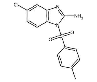 Cc1ccc(S(=O)(=O)n2c(N)nc3cc(Cl)ccc32)cc1